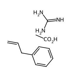 C=CCc1ccccc1.CC(=O)O.N=C(N)N